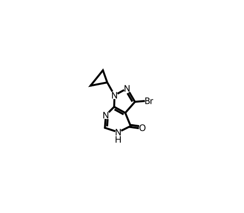 O=c1[nH]cnc2c1c(Br)nn2C1CC1